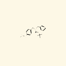 CNNc1ccc(CN(Cc2ccccc2)C(=O)OC(C)(C)C)cc1